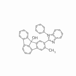 Cc1cc2c(cc1-c1nc3ccccc3n1-c1ccccc1)C1(O)c3ccccc3-c3cccc-2c31